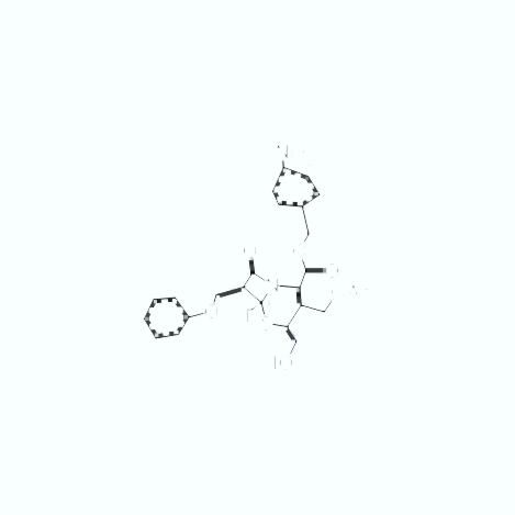 CC(=O)OCC1=C(C(=O)OCc2ccc([N+](=O)[O-])cc2)N2C(=O)/C(=C/Oc3ccccc3)[C@H]2S/C1=C\O